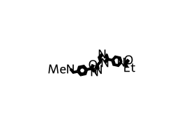 CCC(=O)N1CC=C(c2cncc(-c3nnc(-c4ccc(CNC)cc4)o3)n2)CC1